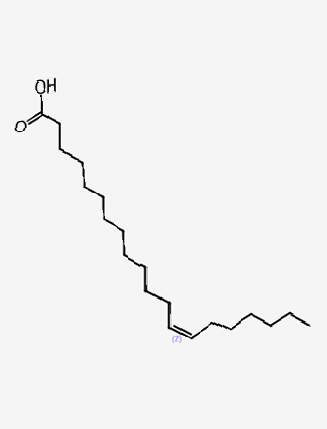 CCCCCC/C=C\CCCCCCCCCCCC(=O)O